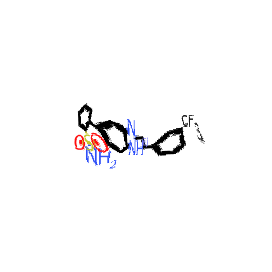 NS(=O)(=O)c1ccccc1-c1ccc2[nH]c(/C=C/c3cccc(C(F)(F)F)c3)nc2c1